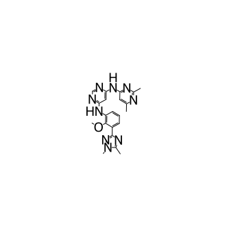 COc1c(Nc2cc(Nc3cc(C)nc(C)n3)ncn2)cccc1-c1nc(C)n(C)n1